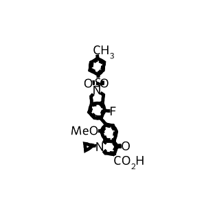 COc1c(-c2ccc3c(c2F)CN(S(=O)(=O)c2ccc(C)cc2)C3)ccc2c(=O)c(C(=O)O)cn(C3CC3)c12